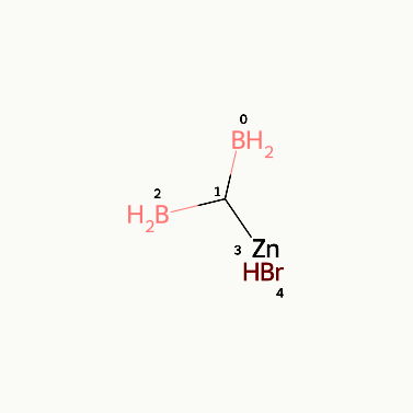 B[CH](B)[Zn].Br